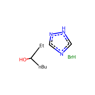 Br.CCCCC(O)CC.c1nc[nH]n1